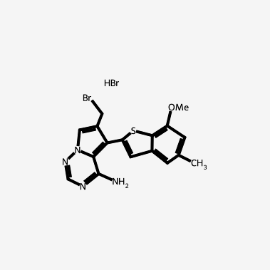 Br.COc1cc(C)cc2cc(-c3c(CBr)cn4ncnc(N)c34)sc12